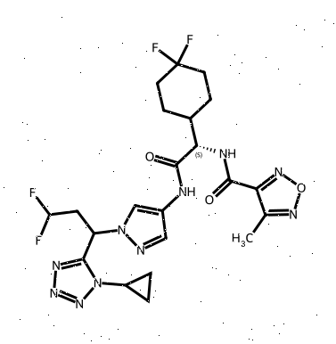 Cc1nonc1C(=O)N[C@H](C(=O)Nc1cnn(C(CC(F)F)c2nnnn2C2CC2)c1)C1CCC(F)(F)CC1